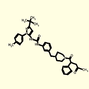 CC(=O)CC(C(=O)N1CCC(Cc2cccc(NC(=O)Nc3cc(C(C)(C)C)nn3-c3ccc(C)cc3)c2)CC1)c1ccccc1